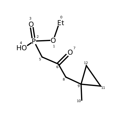 CCOP(=O)(O)CC(=O)CC1(C)CC1